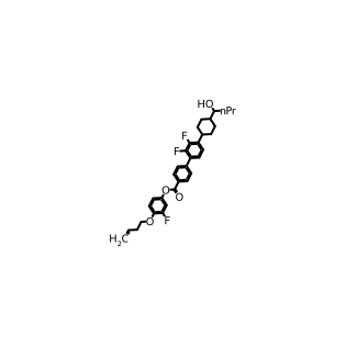 C=CCCOc1ccc(OC(=O)c2ccc(-c3ccc(C4CCC(C(O)CCC)CC4)c(F)c3F)cc2)cc1F